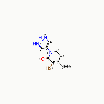 CNC1=C(S)C(=O)N(/C(C=N)=C/N)CC1